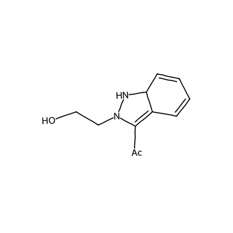 CC(=O)C1=C2C=CC=CC2NN1CCO